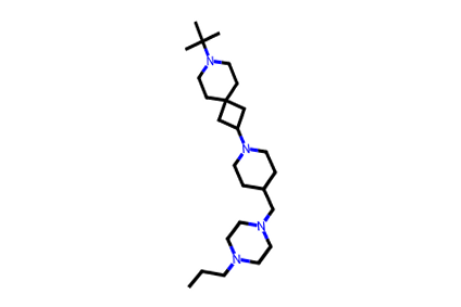 CCCN1CCN(CC2CCN(C3CC4(CCN(C(C)(C)C)CC4)C3)CC2)CC1